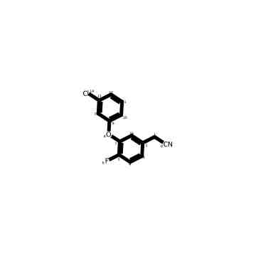 N#C[CH]c1ccc(F)c(Oc2cccc(Cl)c2)c1